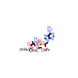 CCCCCCOC(=O)C(C)(C)NP(=O)(COC(C)Cn1cnc2c(N)ncnc21)OC(C=O)COC(C)C